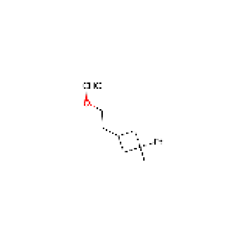 CCC1(C)CC(CCOC=O)C1